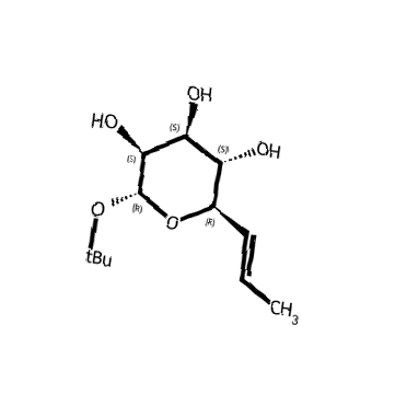 CC=C[C@H]1O[C@H](OC(C)(C)C)[C@@H](O)[C@@H](O)[C@@H]1O